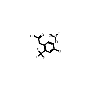 O=C(O)Cc1ccc(Cl)cc1C(F)(F)F.[O-][S+](Cl)Cl